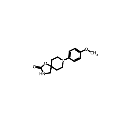 COc1ccc(N2CCC3(CC2)CNC(=O)O3)cc1